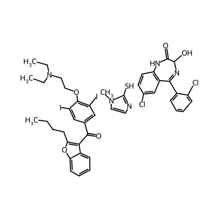 CCCCc1oc2ccccc2c1C(=O)c1cc(I)c(OCCN(CC)CC)c(I)c1.Cn1ccnc1S.O=C1Nc2ccc(Cl)cc2C(c2ccccc2Cl)=NC1O